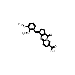 COc1cccc(/C=C2\CCc3c2nc2ccc(C(=O)O)cn2c3=O)c1OC